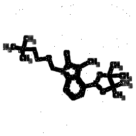 Cn1c(=O)n(COCC[Si](C)(C)C)c2cccc(B3OC(C)(C)C(C)(C)O3)c21